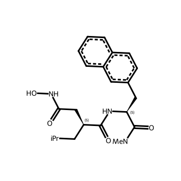 CNC(=O)[C@H](Cc1ccc2ccccc2c1)NC(=O)[C@H](CC(=O)NO)CC(C)C